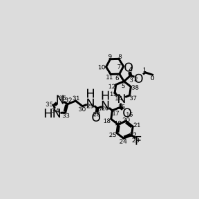 CCOC(=O)C1(C2CCCCC2)CCN(C(=O)C(Cc2ccc(F)cc2)NC(=O)NCCc2c[nH]cn2)CC1